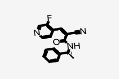 C[C@H](NC(=O)C(C#N)=Cc1ccncc1F)c1ccccc1